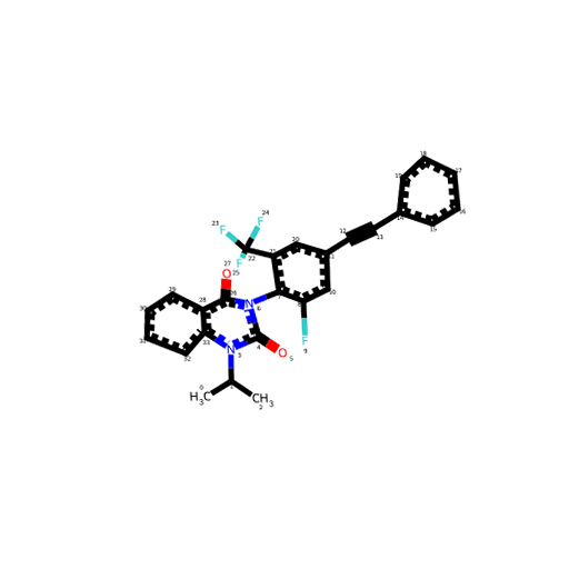 CC(C)n1c(=O)n(-c2c(F)cc(C#Cc3ccccc3)cc2C(F)(F)F)c(=O)c2ccccc21